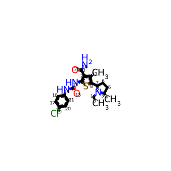 CCN1C(C)CCC1c1sc(NC(=O)Nc2ccc(Cl)cc2)c(C(N)=O)c1C